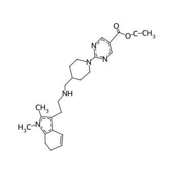 CCOC(=O)c1cnc(N2CCC(CNCCc3c4c(n(C)c3C)CCC=C4)CC2)nc1